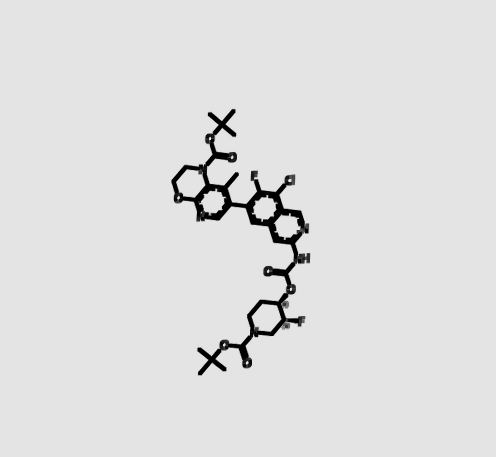 Cc1c(-c2cc3cc(NC(=O)O[C@@H]4CCN(C(=O)OC(C)(C)C)C[C@@H]4F)ncc3c(Cl)c2F)cnc2c1N(C(=O)OC(C)(C)C)CCO2